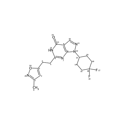 Cc1cc(CCc2nc3c(cnn3C3CCC(F)(F)CC3)c(=O)[nH]2)on1